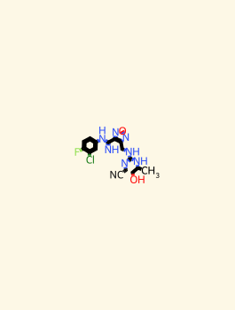 CC(CO)NC(=NCC#N)NCc1nonc1C(=N)Nc1ccc(F)c(Cl)c1